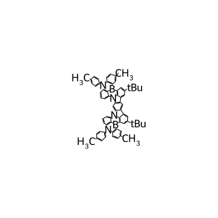 Cc1ccc(N2c3ccc(C)cc3B3c4c2cccc4-n2c4cc5c(cc4c4cc(C(C)(C)C)cc3c42)c2cc(C(C)(C)C)cc3c2n5-c2cccc4c2B3c2cc(C)ccc2N4c2ccc(C)cc2)cc1